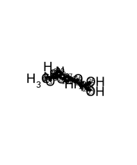 CNC(=O)c1cc2c(Oc3ccc(C=CC(=O)NCCN(CCO)CCO)cc3)cncc2s1